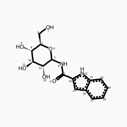 O=C(NC1O[C@H](CO)[C@@H](O)[C@H](O)[C@H]1O)c1cc2ccccc2[nH]1